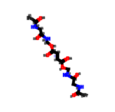 CC(C)C(=O)NCC(=O)NCOC(=O)/C=C/C(=O)OCNC(=O)CNC(=O)C(C)C